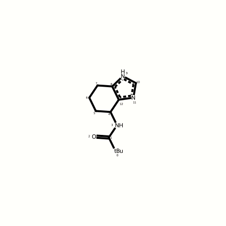 CC(C)(C)C(=O)NC1CCCc2[nH]cnc21